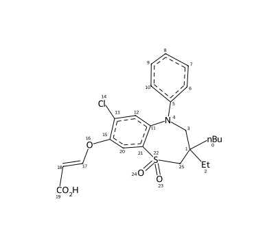 CCCCC1(CC)CN(c2ccccc2)c2cc(Cl)c(OC=CC(=O)O)cc2S(=O)(=O)C1